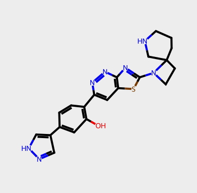 Oc1cc(-c2cn[nH]c2)ccc1-c1cc2sc(N3CCC34CCCNC4)nc2nn1